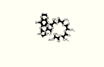 CC(=O)OC(C)C(=O)OC(C)C(=O)OC(C)C(=O)OC(C)C(=O)OC(C)C(=O)OC(C)C(=O)N1CCN/C1=N/c1ccc2nccnc2c1Br